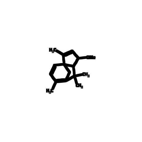 COC1C=C(C)C23C=CC(C)=C(C2)C(C)(C)C13